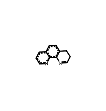 C1=Nc2c(ccc3cccnc23)CC1